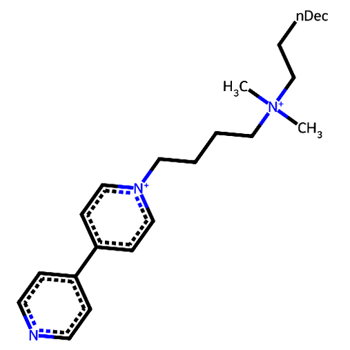 CCCCCCCCCCCC[N+](C)(C)CCCC[n+]1ccc(-c2ccncc2)cc1